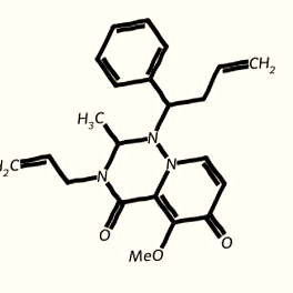 C=CCC(c1ccccc1)N1C(C)N(CC=C)C(=O)c2c(OC)c(=O)ccn21